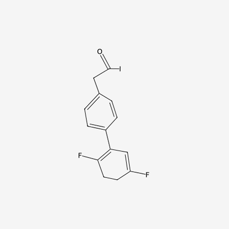 O=C(I)Cc1ccc(C2=C(F)CCC(F)=C2)cc1